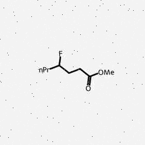 CCCC(F)CCC(=O)OC